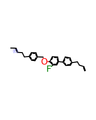 C=CCCc1ccc(-c2ccc(OCc3ccc(CC/C=C/C)cc3)c(F)c2)cc1